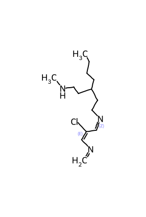 C=N/C=C(Cl)\C=N/CCC(CCCC)CCNC